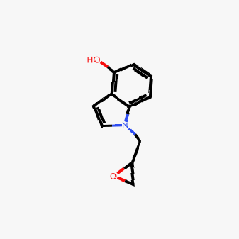 Oc1cccc2c1ccn2CC1CO1